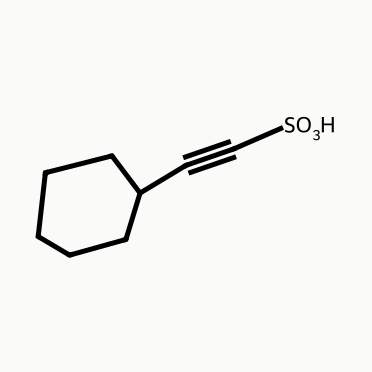 O=S(=O)(O)C#CC1CCCCC1